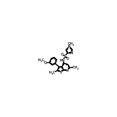 COc1cccc(-c2c(C)sc3nc(C)cc(NS(=O)(=O)c4cn(C)cn4)c23)c1